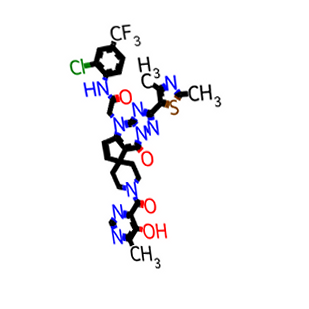 Cc1nc(C)c(-c2nc3n(CC(=O)Nc4ccc(C(F)(F)F)cc4Cl)c4c(c(=O)n3n2)C2(C=C4)CCN(C(=O)c3ncnc(C)c3O)CC2)s1